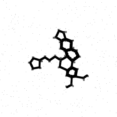 COc1cc2c(cc1OC)-c1ccc3cc4c(cc3c1N(CCCN1CCCC1)C2)OCO4